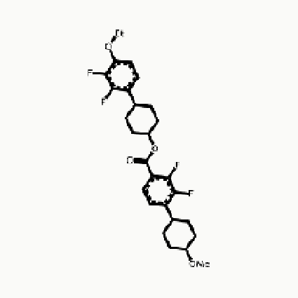 CCOc1ccc(C2CCC(OC(=O)c3ccc(C4CCC(OC)CC4)c(F)c3F)CC2)c(F)c1F